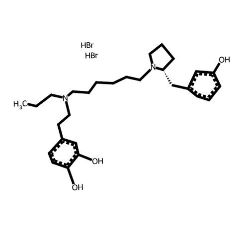 Br.Br.CCCN(CCCCCCN1CCC[C@@H]1Cc1cccc(O)c1)CCc1ccc(O)c(O)c1